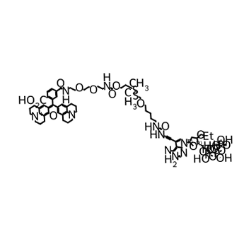 CCOC1C[C@H](n2cc(C#CNC(=O)NCCCCCOCSSC(C)(C)CCOC(=O)NCCOCCOCCNC(=O)c3ccc(C(=O)O)c(C4=c5cc6c7c(c5Oc5c4cc4c8c5CCCN8CCC4)CCC[N+]=7CCC6)c3)c3c(N)ncnc32)O[C@@H]1COP(=O)(O)O[PH](O)(O)OP(=O)(O)O